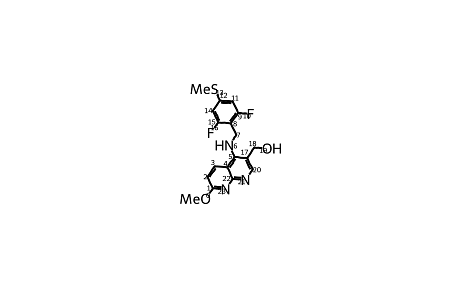 COc1ccc2c(NCc3c(F)cc(SC)cc3F)c(CO)cnc2n1